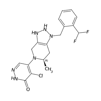 C[C@@H]1CC2=C(CN1c1cn[nH]c(=O)c1Cl)NNN2Cc1ccccc1C(F)F